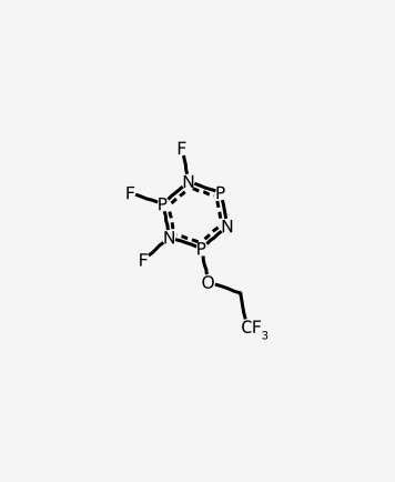 Fn1pnp(OCC(F)(F)F)n(F)p1F